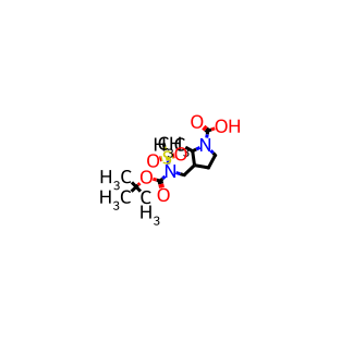 CC1C(CN(C(=O)OC(C)(C)C)S(C)(=O)=O)CCN1C(=O)O